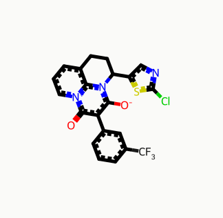 O=c1c(-c2cccc(C(F)(F)F)c2)c([O-])n2c3c(ccc[n+]13)CCC2c1cnc(Cl)s1